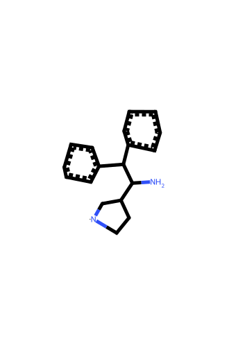 NC(C1CC[N]C1)C(c1ccccc1)c1ccccc1